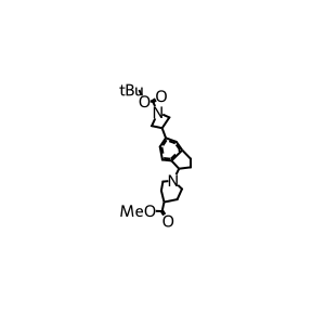 COC(=O)C1CCN(C2CCc3cc(C4CN(C(=O)OC(C)(C)C)C4)ccc32)CC1